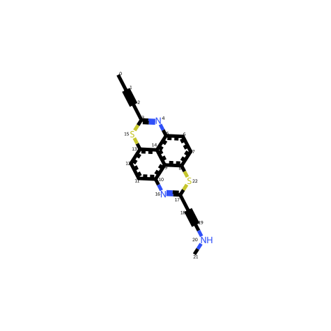 CC#CC1=Nc2ccc3c4c(ccc(c24)S1)N=C(C#CNC)S3